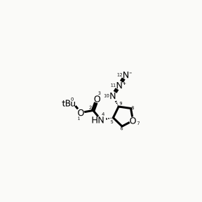 CC(C)(C)OC(=O)N[C@H]1COC[C@H]1N=[N+]=[N-]